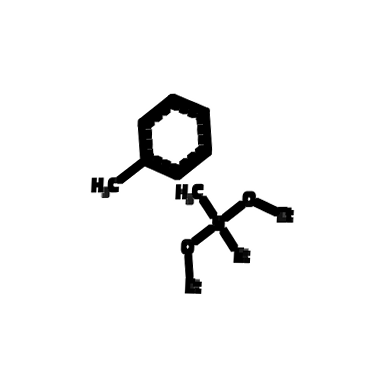 CCO[Si](C)(CC)OCC.Cc1ccccc1